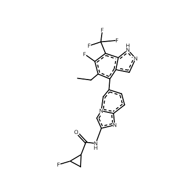 CCc1c(F)c(C(F)(F)F)c2[nH]ncc2c1-c1ccc2nc(NC(=O)C3CC3F)cn2c1